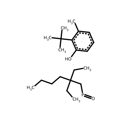 CCCCC(CC)(CC)CP=O.Cc1cccc(O)c1C(C)(C)C